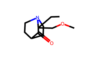 CCC1(COC)C(=O)C2CCN1CC2